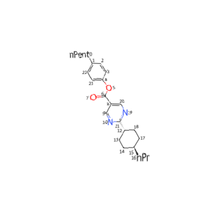 CCCCCc1ccc(OC(=O)c2cnc([C@H]3CC[C@H](CCC)CC3)nc2)cc1